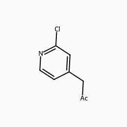 CC(=O)Cc1ccnc(Cl)c1